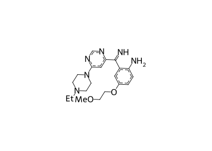 CCN1CCN(c2cc(C(=N)c3cc(OCCOC)ccc3N)ncn2)CC1